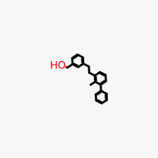 Cc1c(CCc2cccc(CO)c2)cccc1-c1ccccc1